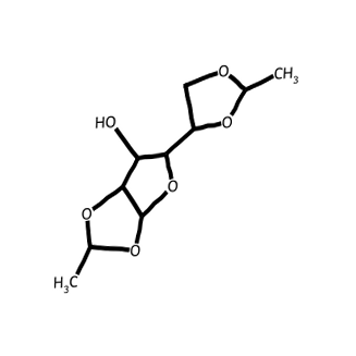 CC1OCC(C2OC3OC(C)OC3C2O)O1